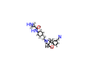 N#Cc1ccc2c(c1)[C@@H]1CN(CC[C@H]3CC[C@H](NC(=O)C4CNC4)CC3)C[C@H]1CO2